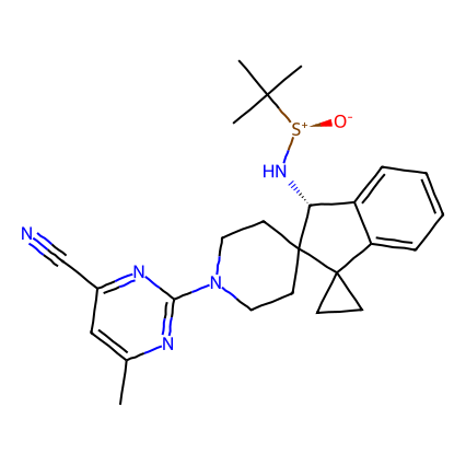 Cc1cc(C#N)nc(N2CCC3(CC2)[C@H](N[S@+]([O-])C(C)(C)C)c2ccccc2C32CC2)n1